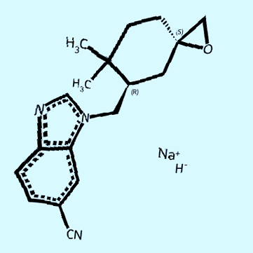 CC1(C)CC[C@@]2(CO2)C[C@H]1Cn1cnc2ccc(C#N)cc21.[H-].[Na+]